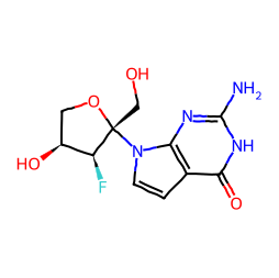 Nc1nc2c(ccn2[C@@]2(CO)OC[C@H](O)[C@@H]2F)c(=O)[nH]1